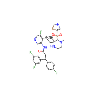 CC(=O)N[C@]1(CCc2c(F)cncc2NC(=O)C[C@@H](c2ccc(F)cc2)c2cc(F)cc(F)c2)NCCN(C)C1S(=O)(=O)c1cncs1